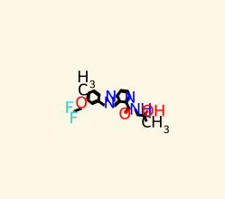 Cc1ccc(Cn2cc3c(C(=O)NCC(C)O)nccc3n2)cc1OCC(F)F